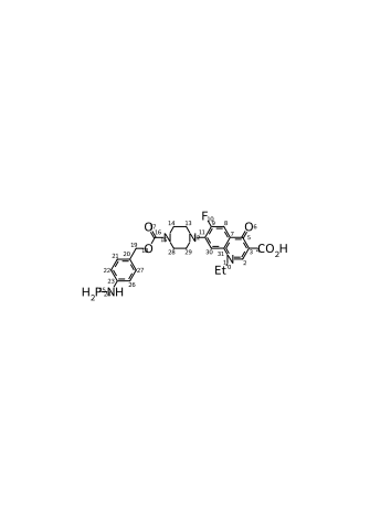 CCn1cc(C(=O)O)c(=O)c2cc(F)c(N3CCN(C(=O)OCc4ccc(NP)cc4)CC3)cc21